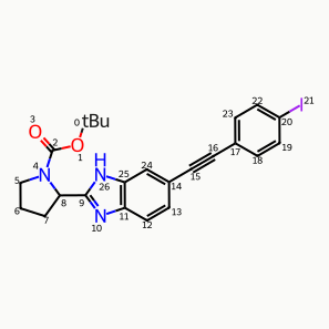 CC(C)(C)OC(=O)N1CCCC1c1nc2ccc(C#Cc3ccc(I)cc3)cc2[nH]1